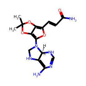 CC1(C)Oc2c(C=CC(N)=O)oc(N3CNC4=C(N)N=CN[C@@H]43)c2O1